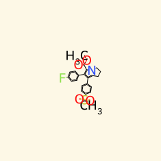 COC(=O)c1c(-c2ccc(F)cc2)c(-c2ccc(S(C)(=O)=O)cc2)c2n1CCC2